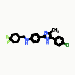 Cc1nc(-c2ccc(NCC3CCC(F)(F)CC3)cc2)[nH]c1-c1ccc(Cl)cc1